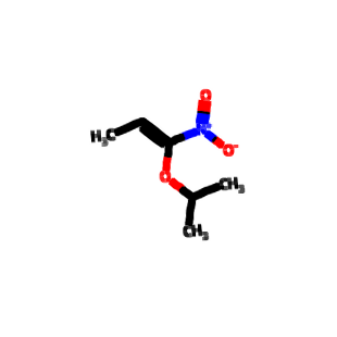 C/C=C(\OC(C)C)[N+](=O)[O-]